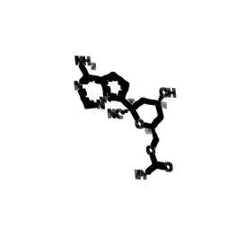 CC(C)C(=O)OC[C@@H]1C[C@@H](O)C[C@](C#N)(c2ccc3c(N)ncnn23)O1